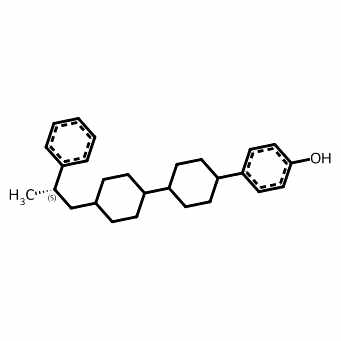 C[C@@H](CC1CCC(C2CCC(c3ccc(O)cc3)CC2)CC1)c1ccccc1